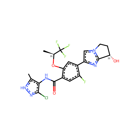 Cc1[nH]nc(Cl)c1NC(=O)c1cc(F)c(-c2cn3c(n2)[C@@H](O)CC3)cc1O[C@@H](C)C(F)(F)F